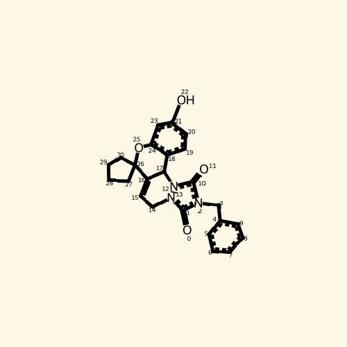 O=c1n(Cc2ccccc2)c(=O)n2n1CC=C1C2c2ccc(O)cc2OC12CCCC2